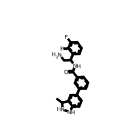 CC1NNc2ccc(-c3cccc(C(=O)NC(CN)c4cccc(F)c4F)c3)cc21